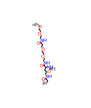 CCCOCCOCCNC(=O)CCOCCOCCNC(=O)C(CCCNC(=O)CC(C)C)NC(=O)CC